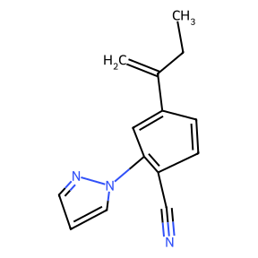 C=C(CC)c1ccc(C#N)c(-n2cccn2)c1